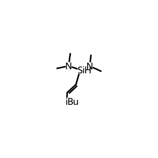 CCC(C)C=C[SiH](N(C)C)N(C)C